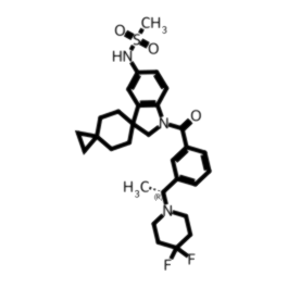 C[C@H](c1cccc(C(=O)N2CC3(CCC4(CC4)CC3)c3cc(NS(C)(=O)=O)ccc32)c1)N1CCC(F)(F)CC1